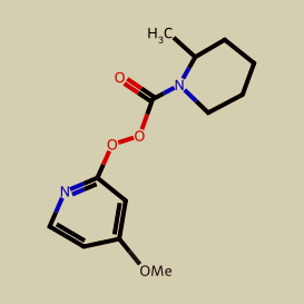 COc1ccnc(OOC(=O)N2CCCCC2C)c1